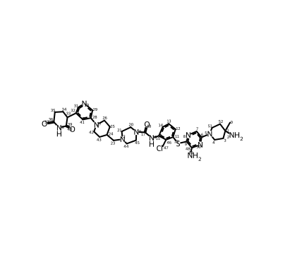 CC1(N)CCN(c2cnc(Sc3cccc(NC(=O)N4CCN(CC5CCN(c6cncc(C7CCC(=O)NC7=O)c6)CC5)CC4)c3Cl)c(N)n2)CC1